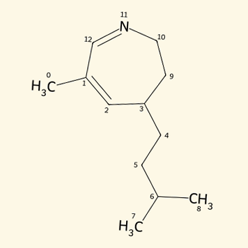 CC1=CC(CCC(C)C)CCN=C1